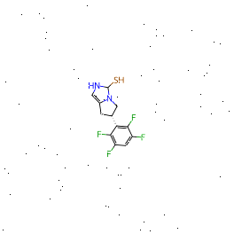 Fc1cc(F)c(F)c([C@@H]2CC3=CNC(S)N3C2)c1F